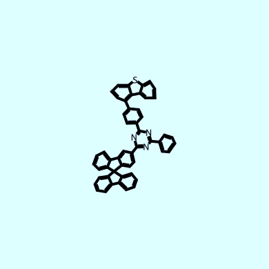 c1ccc(-c2nc(-c3ccc(-c4cccc5sc6ccccc6c45)cc3)nc(-c3ccc4c(c3)-c3ccccc3C43c4ccccc4-c4ccccc43)n2)cc1